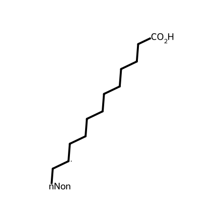 [CH2]CCCCCCCCC[CH]CCCCCCCCCC(=O)O